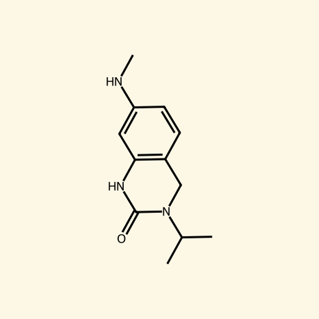 CNc1ccc2c(c1)NC(=O)N(C(C)C)C2